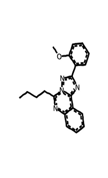 CCCCc1nc2ccccc2c2nc(-c3ccccc3OC)nn12